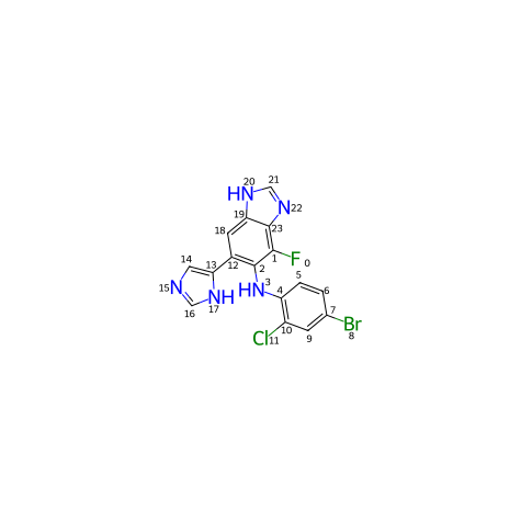 Fc1c(Nc2ccc(Br)cc2Cl)c(-c2cnc[nH]2)cc2[nH]cnc12